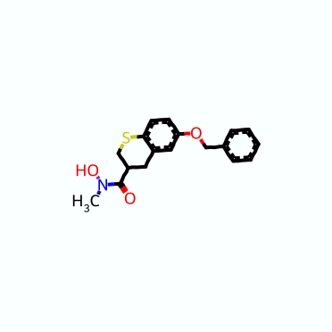 CN(O)C(=O)C1CSc2ccc(OCc3ccccc3)cc2C1